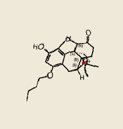 CCCCOc1cc(O)c2c3c1C[C@@H]1[C@@H]4CCC(=O)[C@H](O2)[C@]34CC[N+]1(C)C